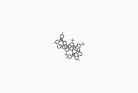 Cc1ccc(N(c2ccc(C)cc2)c2ccc(N(c3ccc(C(C)(C)C)cc3)c3cc(C(C)(C)C)cc(N(c4ccc(C(C)(C)C)cc4)c4ccc(N(c5ccc(C)cc5)c5ccc(C)cc5)c5c4oc4ccccc45)c3Cl)c3oc4ccccc4c23)cc1